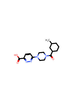 CC1CCCC(C(=O)N2CCN(c3ccc(C(=O)O)nn3)CC2)C1